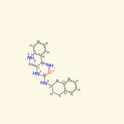 N=C(/C(=C\N)NC(=O)NC1CCc2ccccc2C1)c1ccccc1